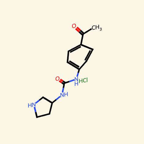 CC(=O)c1ccc(NC(=O)NC2CCNC2)cc1.Cl